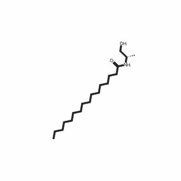 CCCCCCCCCCCCCCCC(=O)N[C@@H](C)CO